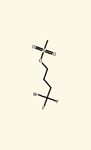 CS(=O)(=O)OCCCC(F)(F)Br